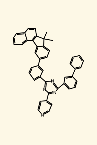 CC1(C)c2ccc(-c3cccc(-c4nc(-c5ccncc5)nc(-c5cccc(-c6ccccc6)c5)n4)c3)cc2-c2c1ccc1ccccc21